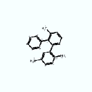 Cc1cccc(-c2cc(N)ccc2N)c1-c1ccccc1